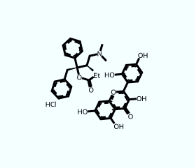 CCC(=O)O[C@](Cc1ccccc1)(c1ccccc1)[C@H](C)CN(C)C.Cl.O=c1c(O)c(-c2ccc(O)cc2O)oc2cc(O)cc(O)c12